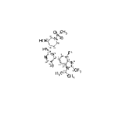 Cc1nc2c(F)cc(-c3nc(N[C@H]4CCN(S(C)(=O)=O)C[C@@H]4O)ncc3F)cc2n1C(C)C